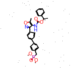 COP(=O)(Cc1ccc(-c2ccc(-c3noc(C)c3NC(=O)O[C@H](C)c3ccccc3)cc2)cc1)OC